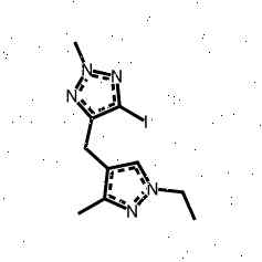 CCn1cc(Cc2nn(C)nc2I)c(C)n1